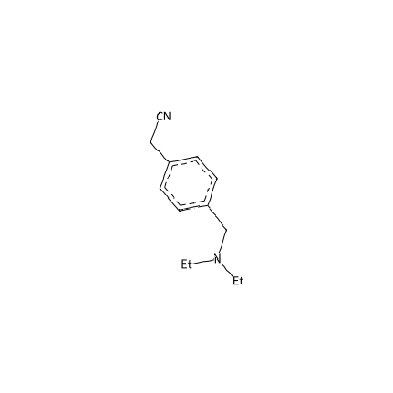 CCN(CC)Cc1ccc(CC#N)cc1